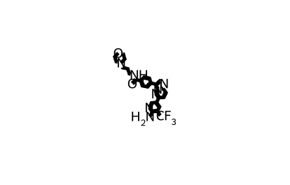 Nc1ncc(-c2ccc3ncc(-c4ccc(C(=O)NCCCN5CCOCC5)cc4)n3n2)cc1C(F)(F)F